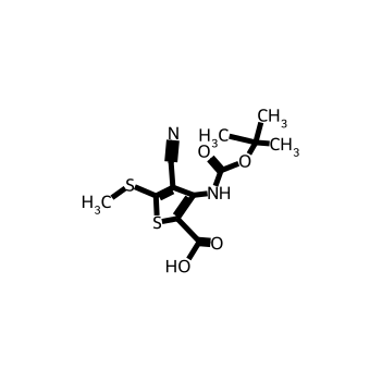 CSc1sc(C(=O)O)c(NC(=O)OC(C)(C)C)c1C#N